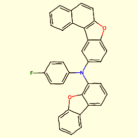 Fc1ccc(N(c2ccc3oc4ccc5ccccc5c4c3c2)c2cccc3c2oc2ccccc23)cc1